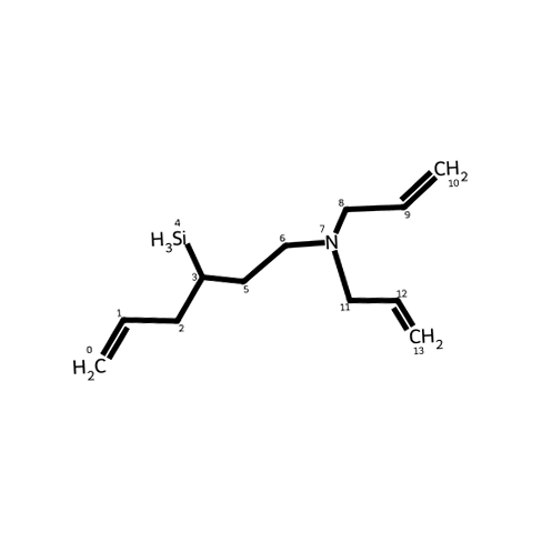 C=CCC([SiH3])CCN(CC=C)CC=C